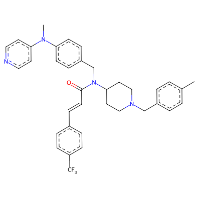 Cc1ccc(CN2CCC(N(Cc3ccc(N(C)c4ccncc4)cc3)C(=O)/C=C/c3ccc(C(F)(F)F)cc3)CC2)cc1